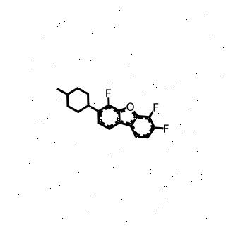 CC1CCC(c2ccc3c(oc4c(F)c(F)ccc43)c2F)CC1